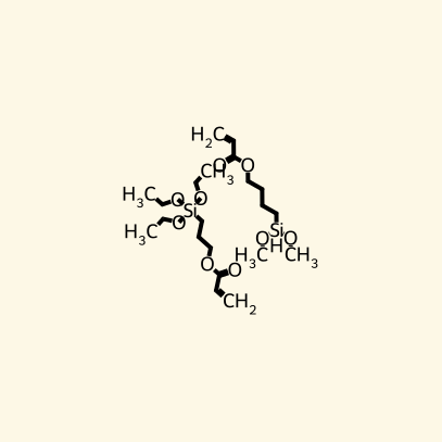 C=CC(=O)OCCCC[SiH](OC)OC.C=CC(=O)OCCC[Si](OCC)(OCC)OCC